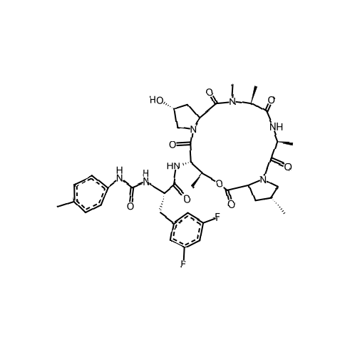 Cc1ccc(NC(=O)N[C@@H](Cc2cc(F)cc(F)c2)C(=O)N[C@@H]2C(=O)N3C[C@H](O)CC3C(=O)N(C)[C@@H](C)C(=O)N[C@@H](C)C(=O)N3C[C@H](C)CC3C(=O)O[C@H]2C)cc1